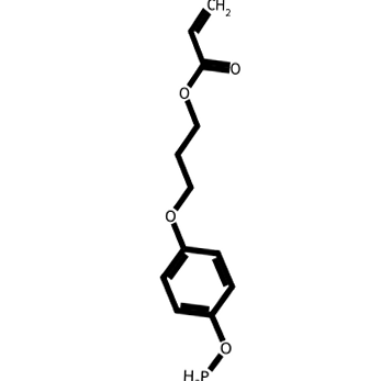 C=CC(=O)OCCCOc1ccc(OP)cc1